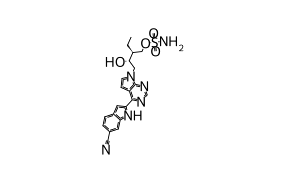 CC[C@@H](COS(N)(=O)=O)[C@@H](O)Cn1ccc2c(-c3cc4ccc(C#N)cc4[nH]3)ncnc21